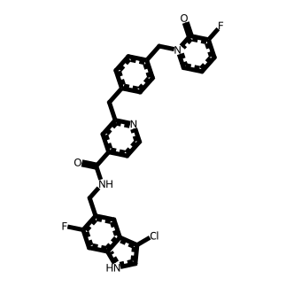 O=C(NCc1cc2c(Cl)c[nH]c2cc1F)c1ccnc(Cc2ccc(Cn3cccc(F)c3=O)cc2)c1